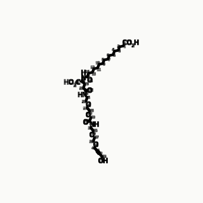 O=C(O)CCCCCCCCCCCCCCC(=O)N[C@@H](CCC(=O)NCCOCCOCC(=O)NCCOCCOCC#CCO)C(=O)O